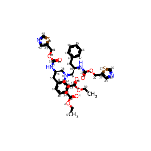 CCOC(=O)CC(CN(C[C@@H](Cc1ccccc1)NC(=O)OCc1cncs1)C[C@@H](Cc1ccccc1)NC(=O)OCc1cncs1)C(=O)OCC